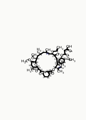 C=CC[C@@H]1/C=C(\C)C[C@H](C)C[C@H](OC)[C@H]2O[C@@](O)(C(=O)C(=O)N3CCCC[C@H]3C(=O)O[C@H](/C(C)=C\[C@@H]3CC[C@@H](OC(=O)CC(=O)O)[C@H](OC)C3)[C@H](C)[C@@H](O)CC1=O)[C@H](C)C[C@@H]2OC